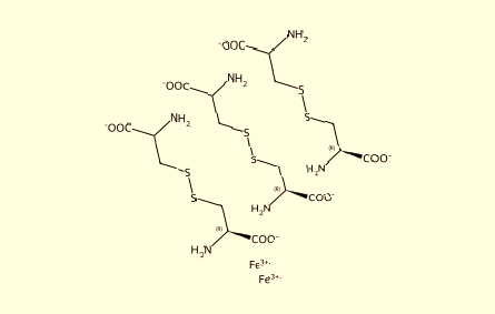 NC(CSSC[C@H](N)C(=O)[O-])C(=O)[O-].NC(CSSC[C@H](N)C(=O)[O-])C(=O)[O-].NC(CSSC[C@H](N)C(=O)[O-])C(=O)[O-].[Fe+3].[Fe+3]